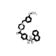 COc1cccc(CN2CCN(C(=O)c3ccc(NS(=O)(=O)c4cccc5ccccc45)cc3)CC2)c1